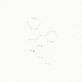 CCCN(C)C(=O)c1nc2ccccc2c(-c2ccccc2)c1CF